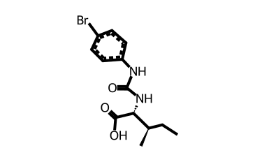 CC[C@@H](C)[C@@H](NC(=O)Nc1ccc(Br)cc1)C(=O)O